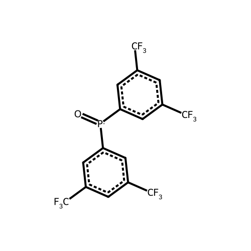 O=[P](c1cc(C(F)(F)F)cc(C(F)(F)F)c1)c1cc(C(F)(F)F)cc(C(F)(F)F)c1